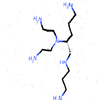 NCCCNC[C@@H](CCCN)N(CCN)CCN